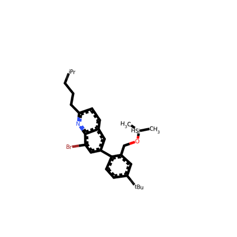 CC(C)CCCc1ccc2cc(-c3ccc(C(C)(C)C)cc3CO[SiH](C)C)cc(Br)c2n1